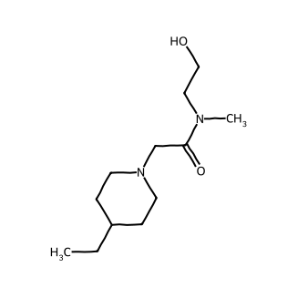 CCC1CCN(CC(=O)N(C)CCO)CC1